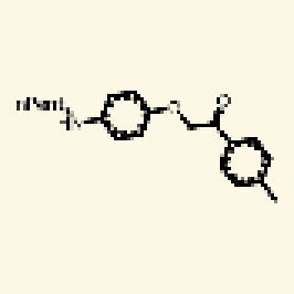 CCCCCNc1ccc(OCC(=O)c2ccc(C)cc2)cc1